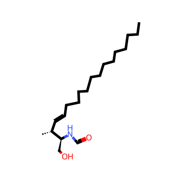 CCCCCCCCCCCCC/C=C/[C@@H](C)[C@H](CO)NC=O